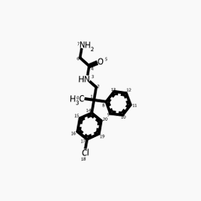 CC(CNC(=O)CN)(c1ccccc1)c1ccc(Cl)cc1